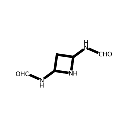 O=CNC1CC(NC=O)N1